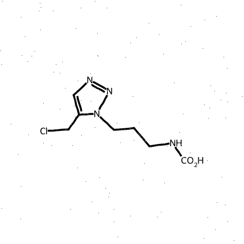 O=C(O)NCCCn1nncc1CCl